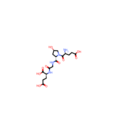 N[C@@H](CCC(=O)O)C(=O)N1C[C@H](O)C[C@H]1C(=O)NCC(=O)N[C@@H](CCC(=O)O)C(=O)O